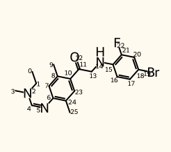 CCN(C)/C=N\c1cc(C)c(C(=O)CNc2ccc(Br)cc2F)cc1C